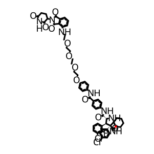 O=C1CCC(N2C(=O)c3cccc(NCCOCCOCCOCCOc4ccc(NC(=O)c5ccc(NC(=O)[C@@H]6NC7(CCCCC7)[C@@]7(C(=O)Nc8cc(Cl)ccc87)[C@H]6c6cccc(Cl)c6F)cc5)cc4)c3C2=O)C(=O)N1